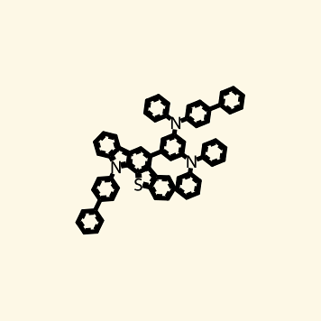 c1ccc(-c2ccc(N(c3ccccc3)c3cc(-c4cc5c6ccccc6n(-c6ccc(-c7ccccc7)cc6)c5c5sc6ccccc6c45)cc(N(c4ccccc4)c4ccccc4)c3)cc2)cc1